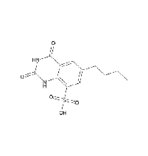 CCCCc1cc(S(=O)(=O)O)c2[nH]c(=O)[nH]c(=O)c2c1